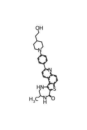 CC1CNc2c(sc3ccc4nc(-c5ccc(N6CCC(CCO)CC6)cc5)ccc4c23)C(=O)N1